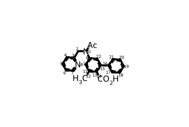 CC(=O)N(Cc1ccccn1)c1cc(C)c(C(=O)O)c(-c2ccccc2)c1